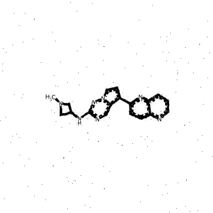 CN1CC(Nc2ncc3c(-c4ccc5ncccc5n4)ccn3n2)C1